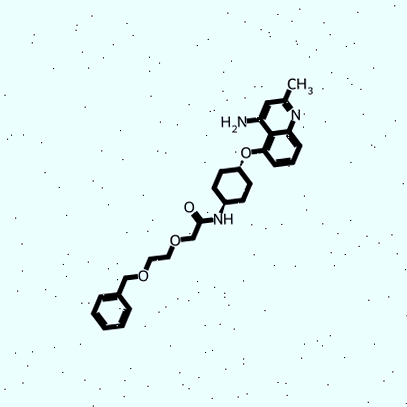 Cc1cc(N)c2c(O[C@H]3CC[C@H](NC(=O)COCCOCc4ccccc4)CC3)cccc2n1